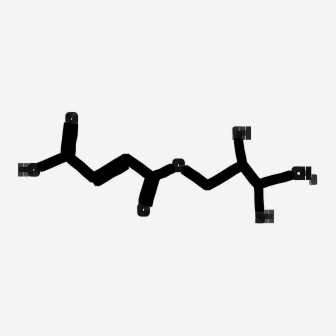 CC(S)C(S)COC(=O)C=CC(=O)O